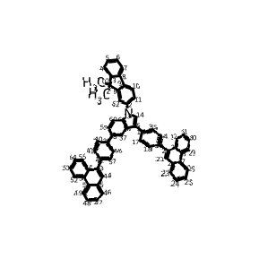 CC1(C)c2ccccc2-c2ccc(-n3cc(-c4ccc(-c5cc6ccccc6c6ccccc56)cc4)c4cc(-c5ccc(-c6cc7ccccc7c7ccccc67)cc5)ccc43)cc21